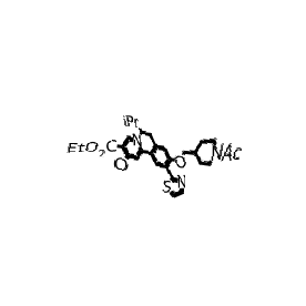 CCOC(=O)c1cn2c(cc1=O)-c1cc(-c3nccs3)c(OCC3CCN(C(C)=O)CC3)cc1CC2C(C)C